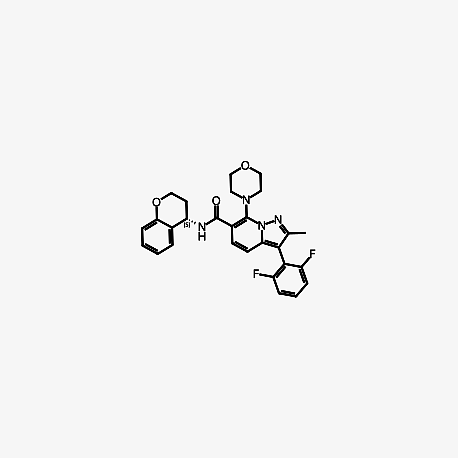 Cc1nn2c(N3CCOCC3)c(C(=O)N[C@H]3CCOc4ccccc43)ccc2c1-c1c(F)cccc1F